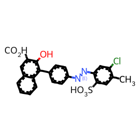 Cc1cc(S(=O)(=O)O)c(/N=N/c2ccc(-c3c(O)c(C(=O)O)cc4ccccc34)cc2)cc1Cl